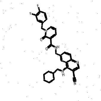 N#Cc1cnc2ccc(CNC(=O)c3cccn(Cc4ccc(F)c(F)c4)c3=O)cc2c1NCC1CCCCC1